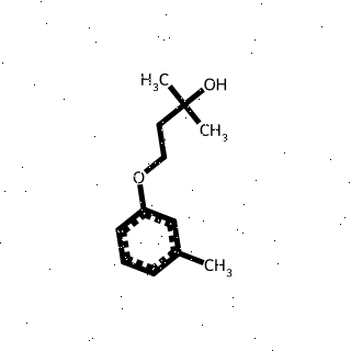 Cc1cccc(OCCC(C)(C)O)c1